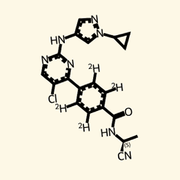 [2H]c1c([2H])c(-c2nc(Nc3cnn(C4CC4)c3)ncc2Cl)c([2H])c([2H])c1C(=O)N[C@@H](C)C#N